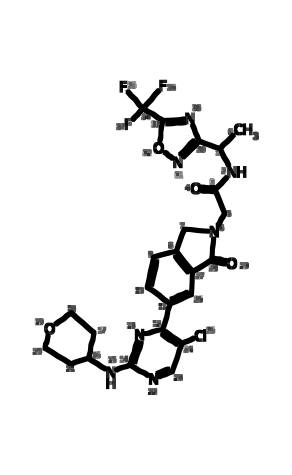 CC(NC(=O)CN1Cc2ccc(-c3nc(NC4CCOCC4)ncc3Cl)cc2C1=O)c1noc(C(F)(F)F)n1